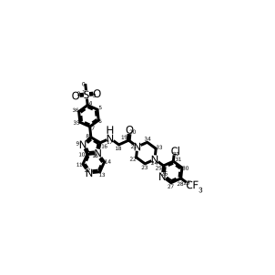 CS(=O)(=O)c1ccc(-c2nc3cnccn3c2NCC(=O)N2CCN(c3ncc(C(F)(F)F)cc3Cl)CC2)cc1